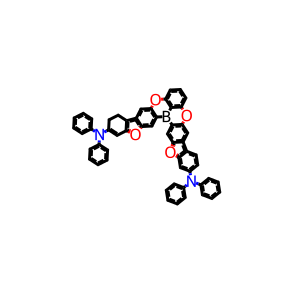 C1=C(N(c2ccccc2)c2ccccc2)CCc2c1oc1cc3c(cc21)Oc1cccc2c1B3c1cc3oc4cc(N(c5ccccc5)c5ccccc5)ccc4c3cc1O2